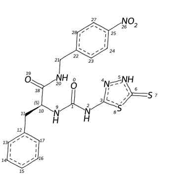 O=C(Nc1n[nH]c(=S)s1)N[C@@H](Cc1ccccc1)C(=O)NCc1ccc([N+](=O)[O-])cc1